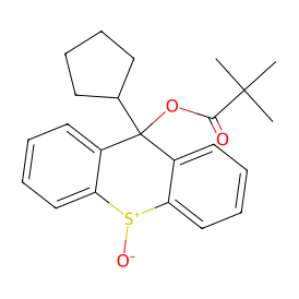 CC(C)(C)C(=O)OC1(C2CCCC2)c2ccccc2[S+]([O-])c2ccccc21